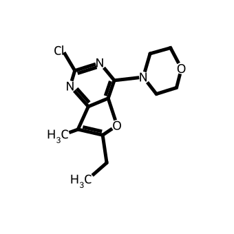 CCc1oc2c(N3CCOCC3)nc(Cl)nc2c1C